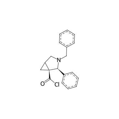 O=C(Cl)[C@@]12CC1CN(Cc1ccccc1)[C@H]2c1ccccc1